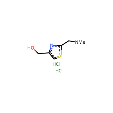 CNCc1nc(CO)cs1.Cl.Cl